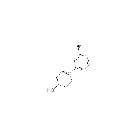 OC1CC=C(c2cccc(Br)c2)CC1